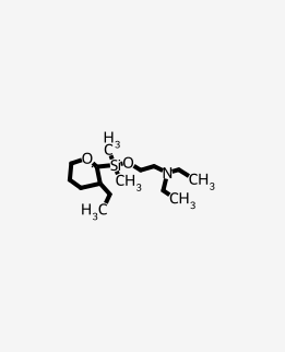 CCC1CCCO[C]1[Si](C)(C)OCCN(CC)CC